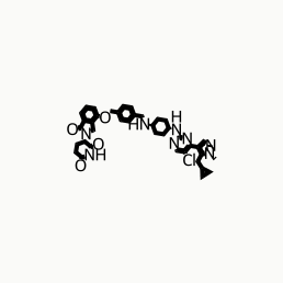 Cn1ncc(-c2nc(N[C@H]3CC[C@H](NCc4ccc(COc5cccc6c5CN([C@H]5CCC(=O)NC5=O)C6=O)cc4)CC3)ncc2Cl)c1CC1CC1